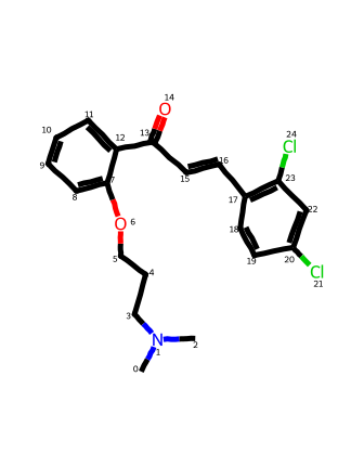 CN(C)CCCOc1ccccc1C(=O)C=Cc1ccc(Cl)cc1Cl